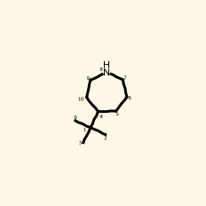 CC(C)(C)C1CCCNCC1